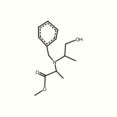 COC(=O)C(C)N(Cc1ccccc1)C(C)CO